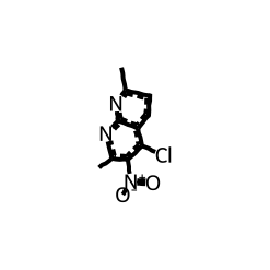 Cc1ccc2c(Cl)c([N+](=O)[O-])c(C)nc2n1